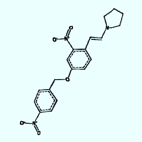 O=[N+]([O-])c1ccc(COc2ccc(/C=C/N3CCCC3)c([N+](=O)[O-])c2)cc1